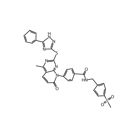 Cc1nc(Sc2n[nH]c(-c3ccccc3)n2)nc2c1ccc(=O)n2-c1ccc(C(=O)NCc2ccc(S(C)(=O)=O)cc2)cc1